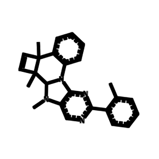 Cc1ccccc1-c1ncc2c(n1)N1c3ccccc3C3(C)C=CC3(C)C1N2C